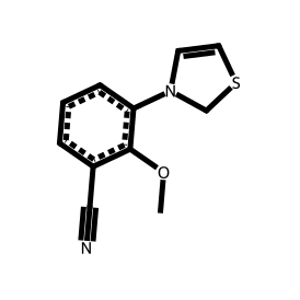 COc1c(C#N)cccc1N1C=CSC1